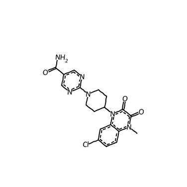 Cn1c(=O)c(=O)n(C2CCN(c3ncc(C(N)=O)cn3)CC2)c2cc(Cl)ccc21